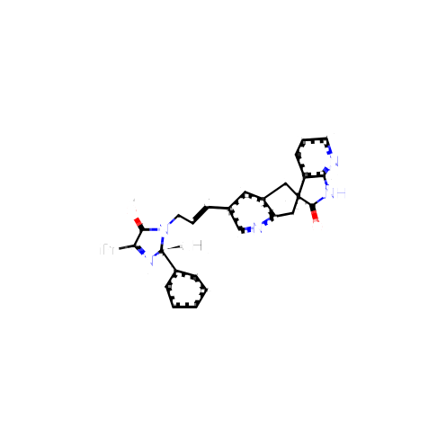 CC(C)C1=N[C@@](C)(c2ccccc2)N(C/C=C/c2cnc3c(c2)CC2(C3)C(=O)Nc3ncccc32)C1=O